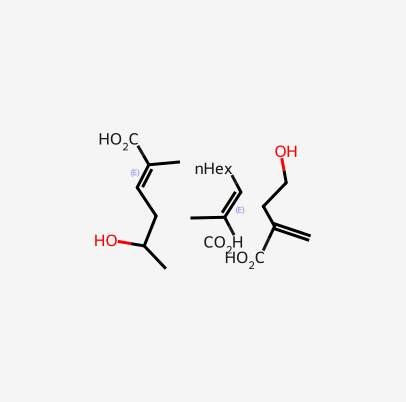 C/C(=C\CC(C)O)C(=O)O.C=C(CCO)C(=O)O.CCCCCC/C=C(\C)C(=O)O